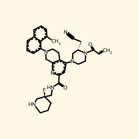 C=CC(=O)N1CCN(c2cc(C(=O)NC[C@]3(F)CCCNC3)nc3c2CCN(c2cccc4cccc(C)c24)C3)C[C@@H]1CC#N